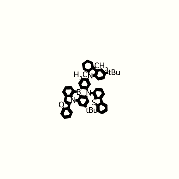 CC(C)(C)c1cc2c3c(c1)-n1c4c(cccc4c4oc5ccccc5c41)B3c1ccc(N3c4ccc(C(C)(C)C)cc4C4(C)CCCCC34C)cc1N2c1cccc2c1sc1ccccc12